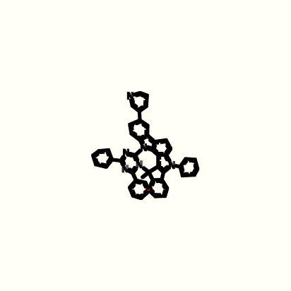 CC1(C)c2ccccc2-c2c1c1c(ccc3c4cc(-c5cccnc5)ccc4n(-c4nc(-c5ccccc5)nc(-c5ccccc5)n4)c31)n2-c1ccccc1